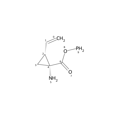 C=C[C@H]1C[C@]1(N)C(=O)OP